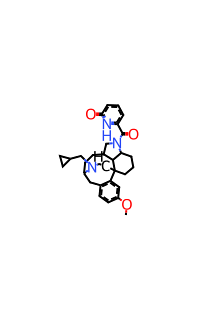 COc1ccc2c(c1)C13CCCC4C1[C@H](CCC(C2)N(CC1CC1)CC3)CN4C(=O)c1cccc(=O)[nH]1